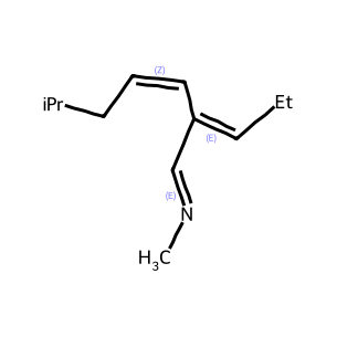 CC/C=C(\C=C/CC(C)C)/C=N/C